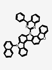 c1ccc(-c2nc(-n3c4ccc5c(c6ccccc6n5-c5cccc6ccccc56)c4c4ccc5oc6ccccc6c5c43)nc3ccccc23)cc1